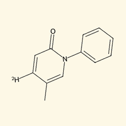 [2H]c1cc(=O)n(-c2ccccc2)cc1C